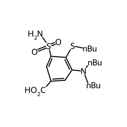 CCCCSc1c(N(CCCC)CCCC)cc(C(=O)O)cc1S(N)(=O)=O